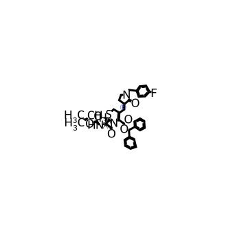 CC(C)(C)OC(=O)N[C@@H]1C(=O)N2C(C(=O)OC(c3ccccc3)c3ccccc3)=C(/C=C3\CCN(Cc4ccc(F)cc4)C3=O)CS[C@H]12